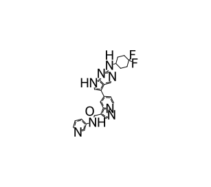 O=C(Nc1cccnc1)c1cnn2ccc(-c3c[nH]c4nc(NC5CCC(F)(F)CC5)ncc34)cc12